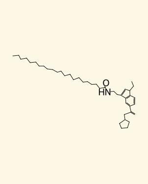 C=C(CC1CCCC1)c1ccc2c(c1)C(CCNC(=O)CCCCCCCCCCCCCCCCCCCCC)=CC2CC